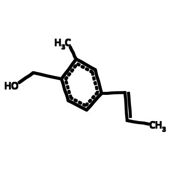 CC=Cc1ccc(CO)c(C)c1